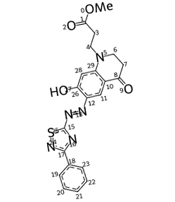 COC(=O)CCN1CCC(=O)c2cc(/N=N/c3nc(-c4ccccc4)ns3)c(O)cc21